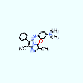 Cc1cnc2n(c1=O)/C(=N\c1ccc(N(C)C)cc1)C(c1ccccc1)=C2C#N